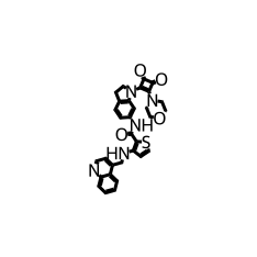 O=C(Nc1ccc2c(c1)N(c1c(N3CCOCC3)c(=O)c1=O)CC2)c1sccc1NCc1ccnc2ccccc12